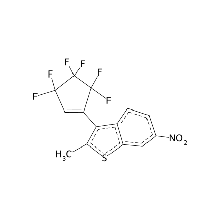 Cc1sc2cc([N+](=O)[O-])ccc2c1C1=CC(F)(F)C(F)(F)C1(F)F